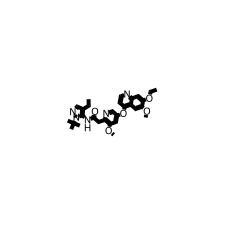 CCOc1cc2nccc(Oc3cnc(CC(=O)Nc4c(CC)cnn4C(C)(C)C)c(OC)c3)c2cc1OC